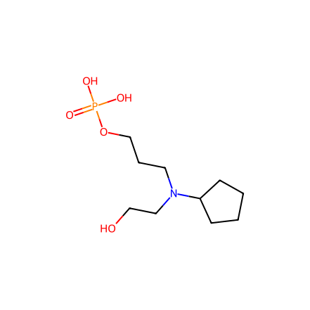 O=P(O)(O)OCCCN(CCO)C1CCCC1